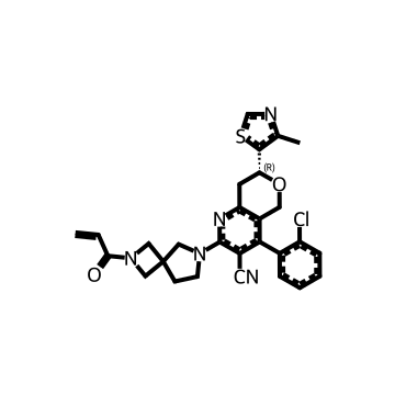 C=CC(=O)N1CC2(CCN(c3nc4c(c(-c5ccccc5Cl)c3C#N)CO[C@@H](c3scnc3C)C4)C2)C1